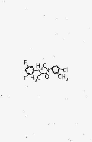 Cc1cc(N(C)C(=O)[C@@H](C)Cc2cc(F)cc(F)c2)ccc1Cl